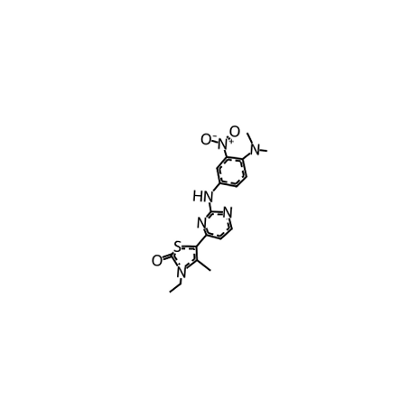 CCn1c(C)c(-c2ccnc(Nc3ccc(N(C)C)c([N+](=O)[O-])c3)n2)sc1=O